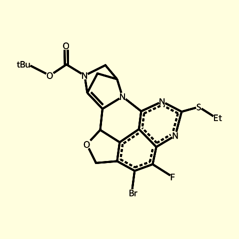 CCSc1nc2c3c4c(c(Br)c(F)c3n1)COC4C1=C3CC(CN3C(=O)OC(C)(C)C)N12